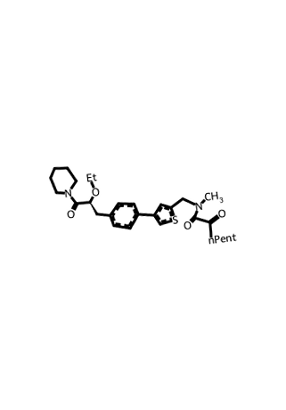 CCCCCC(=O)C(=O)N(C)Cc1cc(-c2ccc(C[C@H](OCC)C(=O)N3CCCCC3)cc2)cs1